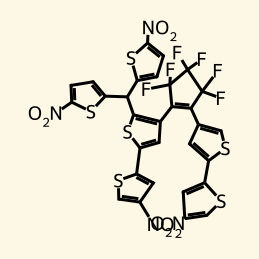 O=[N+]([O-])c1csc(-c2cc(C3=C(c4cc(-c5cc([N+](=O)[O-])cs5)sc4C(c4ccc([N+](=O)[O-])s4)c4ccc([N+](=O)[O-])s4)C(F)(F)C(F)(F)C3(F)F)cs2)c1